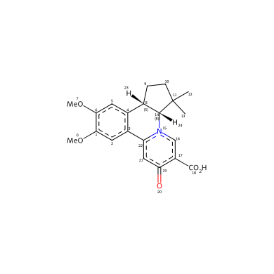 COc1cc2c(cc1OC)[C@@H]1CCC(C)(C)[C@@H]1n1cc(C(=O)O)c(=O)cc1-2